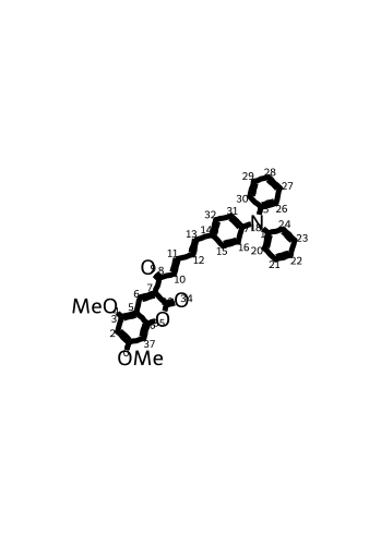 COc1cc(OC)c2cc(C(=O)C=CC=Cc3ccc(N(c4ccccc4)c4ccccc4)cc3)c(=O)oc2c1